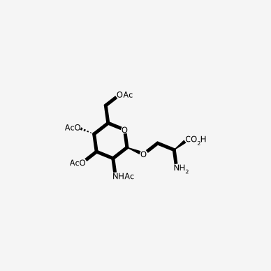 CC(=O)NC1C(OC(C)=O)[C@H](OC(C)=O)C(COC(C)=O)O[C@H]1OC[C@H](N)C(=O)O